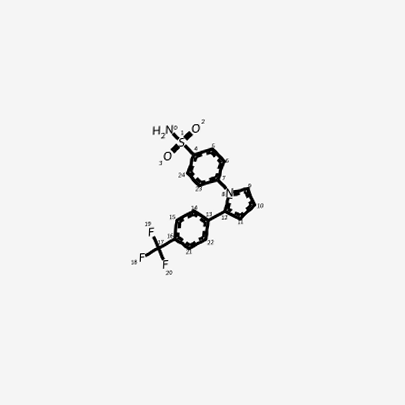 NS(=O)(=O)c1ccc(-n2cccc2-c2ccc(C(F)(F)F)cc2)cc1